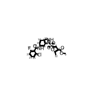 COC(=O)c1cc(S(=O)(=O)N2NCc3ccc(NC(=O)c4c(F)cccc4Cl)cc32)oc1C